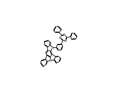 c1ccc(-c2nc(-c3ccccc3)nc(-c3cccc(-n4c5ccccc5c5cc6c7ccccc7n7c8ccccc8c(c54)c67)c3)n2)cc1